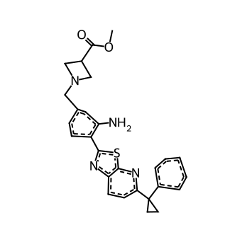 COC(=O)C1CN(Cc2ccc(-c3nc4ccc(C5(c6ccccc6)CC5)nc4s3)c(N)c2)C1